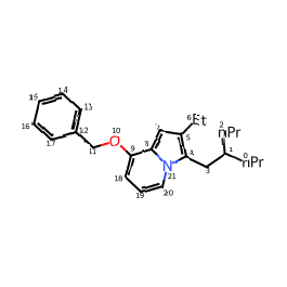 CCCC(CCC)Cc1c(CC)cc2c(OCc3ccccc3)cccn12